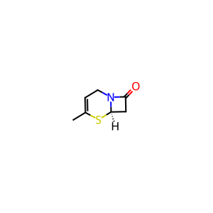 CC1=CCN2C(=O)C[C@H]2S1